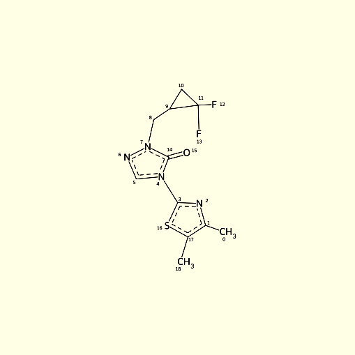 Cc1nc(-n2cnn(CC3CC3(F)F)c2=O)sc1C